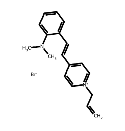 C=CC[n+]1ccc(/C=C/c2ccccc2N(C)C)cc1.[Br-]